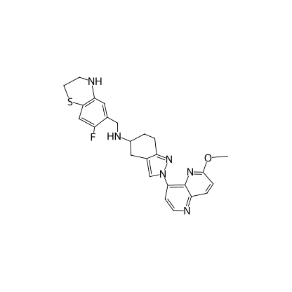 COc1ccc2nccc(-n3cc4c(n3)CCC(NCc3cc5c(cc3F)SCCN5)C4)c2n1